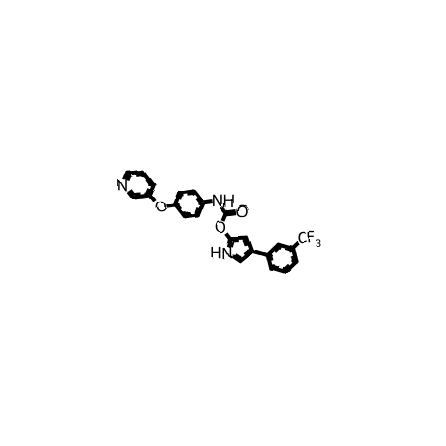 O=C(Nc1ccc(Oc2cccnc2)cc1)Oc1cc(-c2cccc(C(F)(F)F)c2)c[nH]1